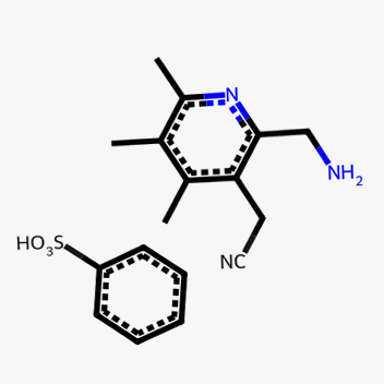 Cc1nc(CN)c(CC#N)c(C)c1C.O=S(=O)(O)c1ccccc1